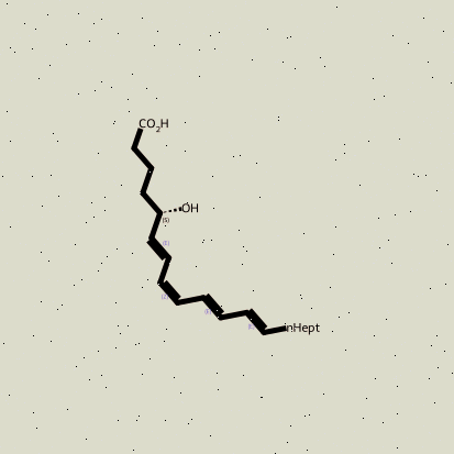 CCCCCCC/C=C/C=C/C=C\C=C\[C@@H](O)CCCC(=O)O